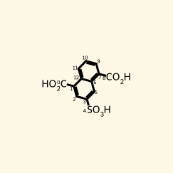 O=C(O)c1cc(S(=O)(=O)O)cc2c(C(=O)O)cccc12